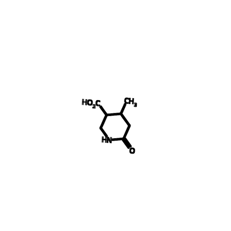 CC1CC(=O)NCC1C(=O)O